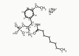 CCCCCCCC(=O)N[C@@H](c1cccc(OC)c1)[C@@H](C)OP(=O)([O-])[O-].[Na+].[Na+]